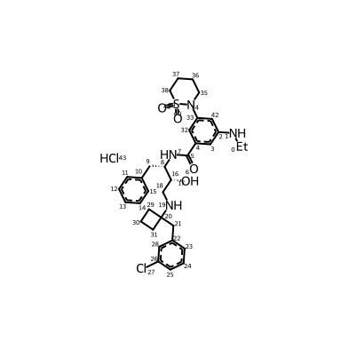 CCNc1cc(C(=O)N[C@@H](Cc2ccccc2)[C@H](O)CNC2(Cc3cccc(Cl)c3)CCC2)cc(N2CCCCS2(=O)=O)c1.Cl